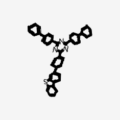 c1ccc(-c2ccc(-c3nc(-c4ccc(-c5ccccc5)cc4)nc(-c4ccc(-c5ccc6c(c5)sc5ccccc56)cc4)n3)cc2)cc1